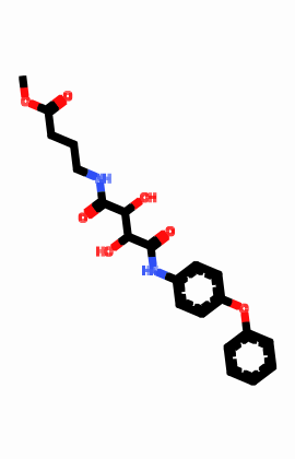 COC(=O)CCCNC(=O)C(O)C(O)C(=O)Nc1ccc(Oc2ccccc2)cc1